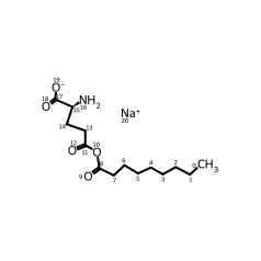 CCCCCCCCC(=O)OC(=O)CC[C@H](N)C(=O)[O-].[Na+]